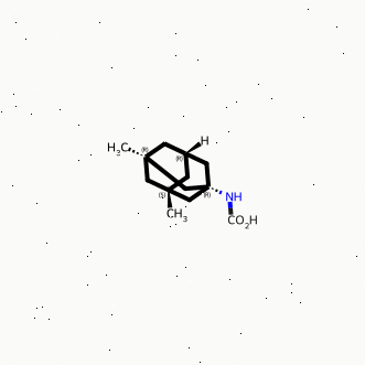 C[C@]12C[C@@H]3C[C@](C)(C1)C[C@@](NC(=O)O)(C3)C2